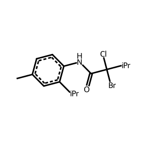 Cc1ccc(NC(=O)C(Cl)(Br)C(C)C)c(C(C)C)c1